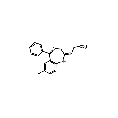 O=C(O)C/N=C1\CN=C(c2ccccc2)c2cc(Br)ccc2N1